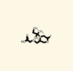 CCC(C)(C)N1CC(F)OCC1COCC(=O)O